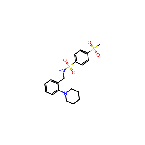 CS(=O)(=O)c1ccc(S(=O)(=O)NCc2ccccc2N2CCCCC2)cc1